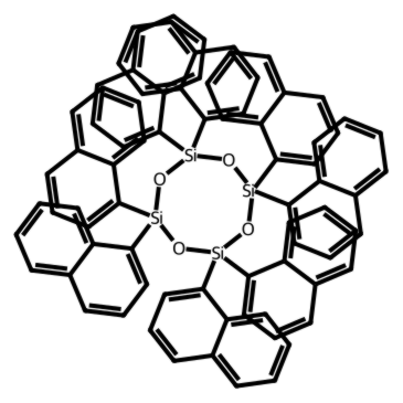 c1ccc2c([Si]3(c4cccc5ccccc45)O[Si](c4cccc5ccccc45)(c4cccc5ccccc45)O[Si](c4cccc5ccccc45)(c4cccc5ccccc45)O[Si](c4cccc5ccccc45)(c4cccc5ccccc45)O3)cccc2c1